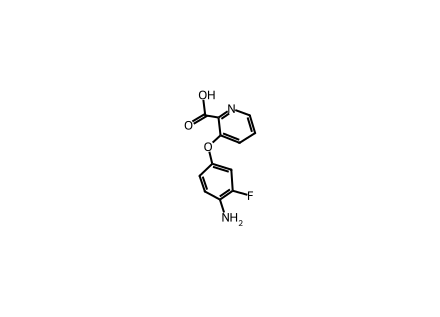 Nc1ccc(Oc2cccnc2C(=O)O)cc1F